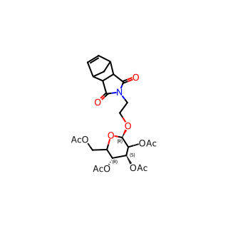 CC(=O)OCC1O[C@@H](OCCN2C(=O)C3C4C=CC(C4)C3C2=O)C(OC(C)=O)[C@@H](OC(C)=O)[C@@H]1OC(C)=O